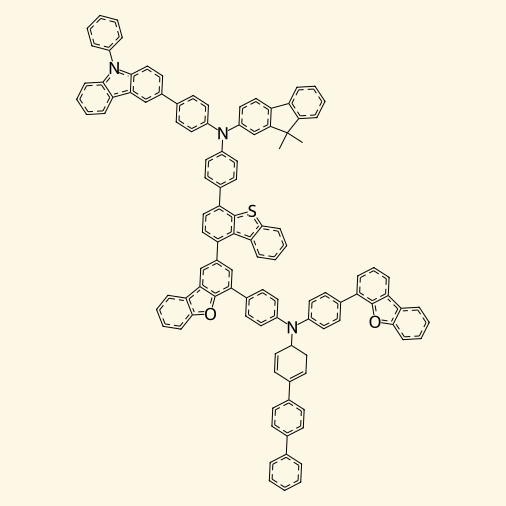 CC1(C)c2ccccc2-c2ccc(N(c3ccc(-c4ccc5c(c4)c4ccccc4n5-c4ccccc4)cc3)c3ccc(-c4ccc(-c5cc(-c6ccc(N(c7ccc(-c8cccc9c8oc8ccccc89)cc7)C7C=CC(c8ccc(-c9ccccc9)cc8)=CC7)cc6)c6oc7ccccc7c6c5)c5c4sc4ccccc45)cc3)cc21